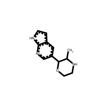 CC1NCCOC1c1cnc2[nH]ccc2c1